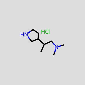 CC(CN(C)C)C1CCNC1.Cl